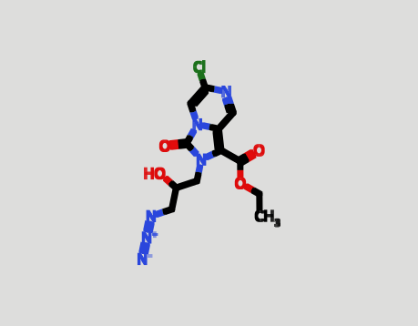 CCOC(=O)c1c2cnc(Cl)cn2c(=O)n1CC(O)CN=[N+]=[N-]